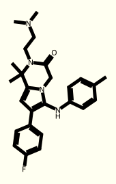 Cc1ccc(Nc2c(-c3ccc(F)cc3)cc3n2CC(=O)N(CCN(C)C)C3(C)C)cc1